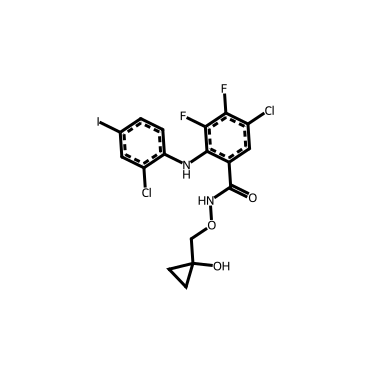 O=C(NOCC1(O)CC1)c1cc(Cl)c(F)c(F)c1Nc1ccc(I)cc1Cl